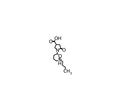 CCCC[SiH]1CCCC(N2CC(C(=O)O)CC2=O)O1